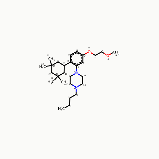 CCCCN1CCN(c2cc(OCCOC)ccc2C2CC(C)(C)CC(C)(C)C2)CC1